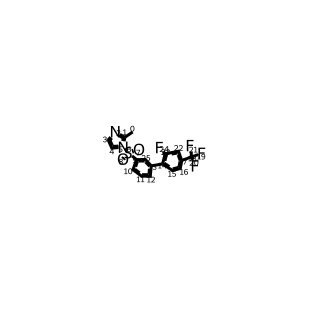 Cc1nccn1S(=O)(=O)c1cccc(-c2ccc(C(F)(F)F)cc2F)c1